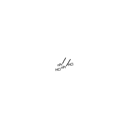 CCCC.CCCC.Cl.Cl